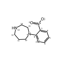 O=[N+]([O-])c1cccnc1N1CCCNCC1